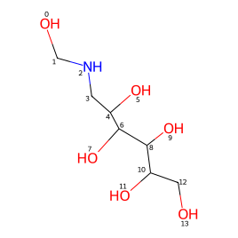 OCNCC(O)C(O)C(O)C(O)CO